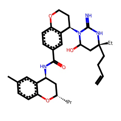 C=CCC[C@]1(CC)CC(O)N([C@@H]2CCOc3ccc(C(=O)N[C@H]4C[C@H](C(C)C)Oc5ccc(C)cc54)cc32)C(=N)N1